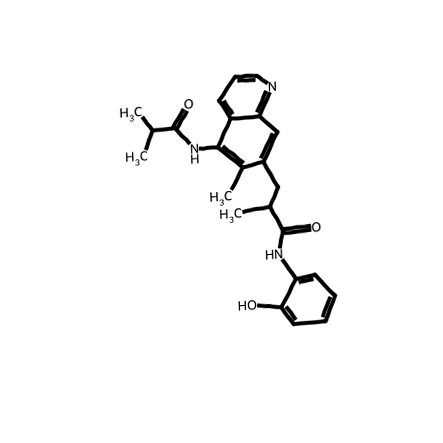 Cc1c(CC(C)C(=O)Nc2ccccc2O)cc2ncccc2c1NC(=O)C(C)C